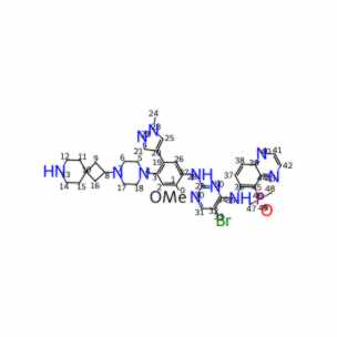 COc1cc(N2CCN(C3CC4(CCNCC4)C3)CC2)c(-c2cnn(C)c2)cc1Nc1ncc(Br)c(Nc2ccc3nccnc3c2P(C)(C)=O)n1